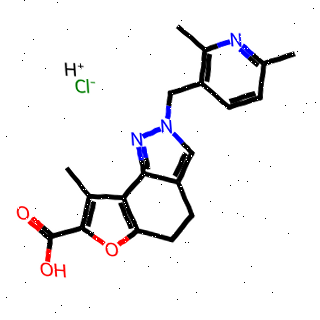 Cc1ccc(Cn2cc3c(n2)-c2c(oc(C(=O)O)c2C)CC3)c(C)n1.[Cl-].[H+]